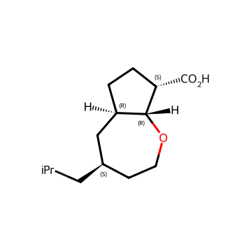 CC(C)C[C@@H]1CCO[C@@H]2[C@H](CC[C@@H]2C(=O)O)C1